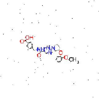 CCOc1ccccc1OC1CCCN(c2ncc(C(=O)NCc3ccc(C(=O)O)cc3)cn2)C1